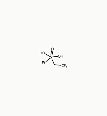 CCS(=O)(O)(O)CC(F)(F)F